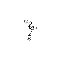 O=S1(=O)CCN(C2CN(c3nc(Cl)nc4c3cnn4-c3cccc(C(F)(F)F)c3)C2)CC1